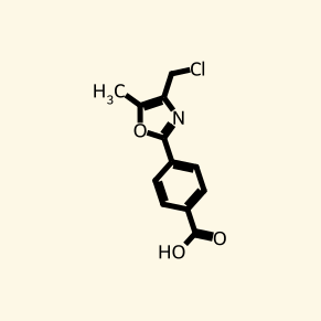 Cc1oc(-c2ccc(C(=O)O)cc2)nc1CCl